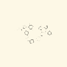 Cc1sc2c(c1C)C(c1ccc(Cl)cc1)=N[C@@H](CC(=O)N1CCC(Cc3ccc(CN(C)Cc4ccc(-n5c(C(=O)NCC(F)(F)F)nnc5-c5cc(C(C)C)c(O)cc5O)cc4)cn3)CC1)c1nnc(C)n1-2